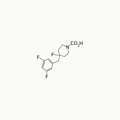 O=C(O)N1CCC(F)(Cc2cc(F)cc(F)c2)CC1